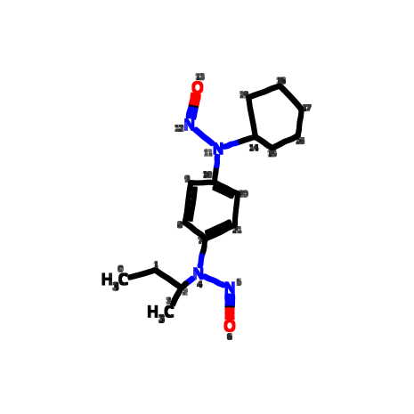 CCC(C)N(N=O)c1ccc(N(N=O)C2CCCCC2)cc1